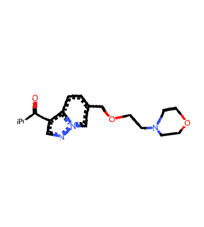 CC(C)C(=O)c1cnn2cc(COCCN3CCOCC3)ccc12